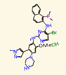 COc1cc(N2CCNCC2)c(-c2cnn(C)c2)cc1Nc1ncc(Br)c(Nc2ccc3ccccc3c2P(C)C)n1.Cl